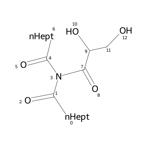 CCCCCCCC(=O)N(C(=O)CCCCCCC)C(=O)C(O)CO